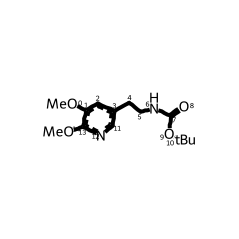 COc1cc(CCNC(=O)OC(C)(C)C)cnc1OC